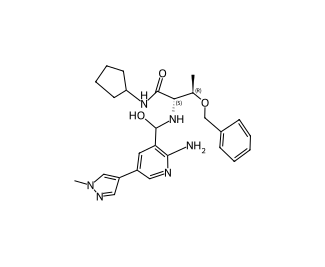 C[C@@H](OCc1ccccc1)[C@H](NC(O)c1cc(-c2cnn(C)c2)cnc1N)C(=O)NC1CCCC1